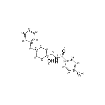 O=C(NCC1(O)CCN(Cc2ccccc2)CC1)c1ccc(O)cc1